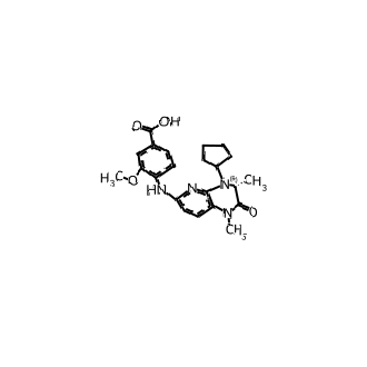 COc1cc(C(=O)O)ccc1Nc1ccc2c(n1)N(C1CCCC1)[C@H](C)C(=O)N2C